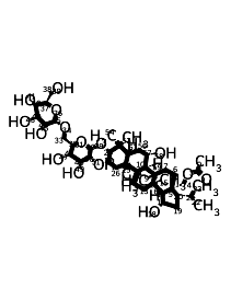 CC(=O)OC[C@@]12CC[C@@]3(C)[C@H]4C(=CC[C@]3(C)[C@H]1[C@H](O)C[C@H]2C(C)C)[C@@]1(C)CC[C@H](O[C@@H]2O[C@H](CO[C@@H]3O[C@H](CO)[C@@H](O)[C@H](O)[C@H]3O)[C@@H](O)[C@H](O)[C@H]2O)C(C)(C)[C@@H]1C[C@@H]4O